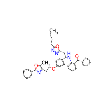 CCCCc1nnc(CC(Nc2ccccc2C(=O)c2ccccc2)c2ccc(OCCc3nc(-c4ccccc4)oc3C)cc2)o1